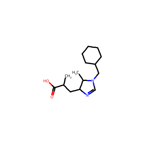 CC(CC1N=CN(CC2CCCCC2)C1C)C(=O)O